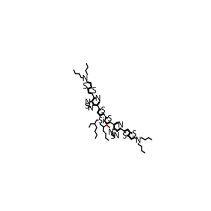 CCCCC(CC)C[Si]1(CC(CC)CCCC)c2cc(-c3cnc(-c4cc5sc(N(CCCC)CCCC)cc5s4)c4nsnc34)sc2-c2sc(-c3cnc(-c4cc5sc(N(CCCC)CCCC)cc5s4)c4nsnc34)cc21